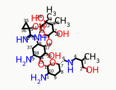 CC(CO)CNC[C@@H]1CCC(N)[C@@H](OC2C(O)C(O[C@H]3OCC(C)(O)[C@H](C)C3O)[C@H](NC(=N)C3(O)CC3)C[C@@H]2N)O1